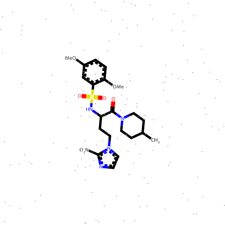 COc1ccc(OC)c(S(=O)(=O)NC(CCn2ccnc2[N+](=O)[O-])C(=O)N2CCC(C)CC2)c1